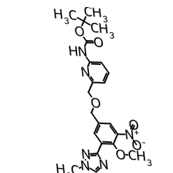 COc1c(-c2ncn(C)n2)cc(COCc2cccc(NC(=O)OC(C)(C)C)n2)cc1[N+](=O)[O-]